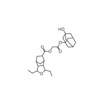 CCC1OC(CC)C2C3CC(CC3C(=O)OCC(=O)OC34CC5CC(CC(O)(C5)C3)C4)C12